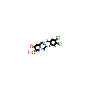 O=c1cc2n(cc1O)CCN(Cc1ccc(Cl)c(Cl)c1)C2